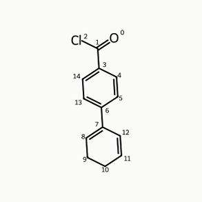 O=C(Cl)c1ccc(C2=CCCC=C2)cc1